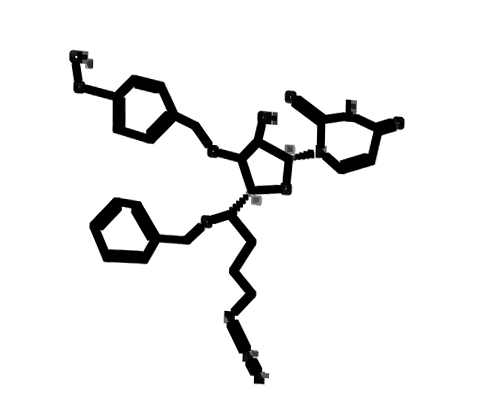 COc1ccc(COC2C(O)[C@H](n3ccc(=O)[nH]c3=O)O[C@@H]2C(CCCN=[N+]=[N-])OCc2ccccc2)cc1